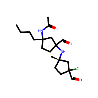 CCCC[C@]1(NC(C)=O)CCC(C=O)(N[C@@]2(C)CCC(Cl)(C=O)C2)C1